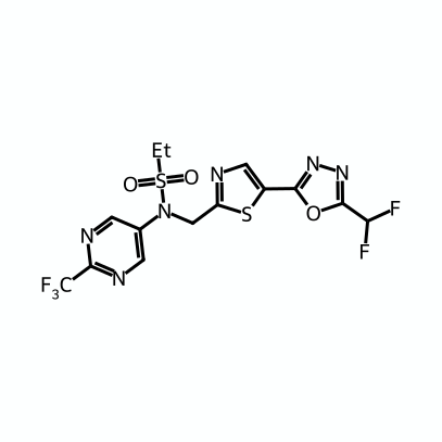 CCS(=O)(=O)N(Cc1ncc(-c2nnc(C(F)F)o2)s1)c1cnc(C(F)(F)F)nc1